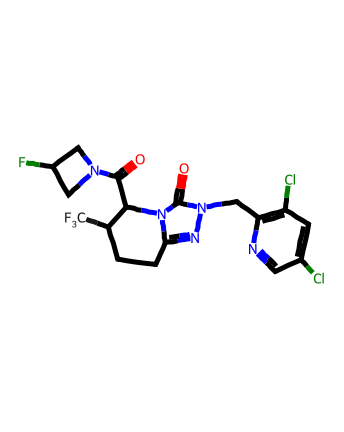 O=C(C1C(C(F)(F)F)CCc2nn(Cc3ncc(Cl)cc3Cl)c(=O)n21)N1CC(F)C1